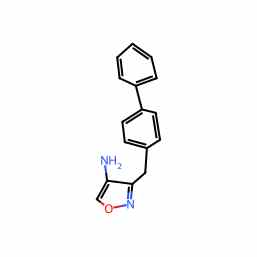 Nc1conc1Cc1ccc(-c2ccccc2)cc1